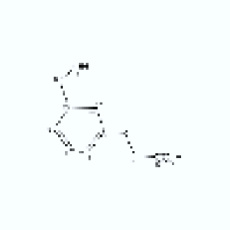 O=C(O)CCc1cccc(CO)c1